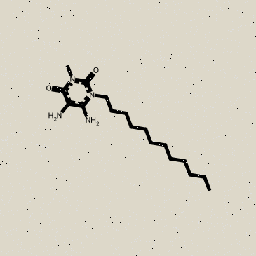 CCCCCCCCCCCCn1c(N)c(N)c(=O)n(C)c1=O